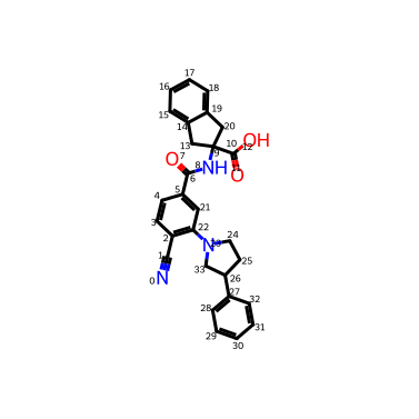 N#Cc1ccc(C(=O)NC2(C(=O)O)Cc3ccccc3C2)cc1N1CCC(c2ccccc2)C1